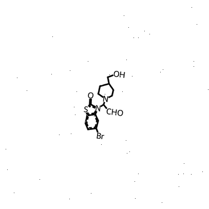 O=CC(N1CCC(CO)CC1)n1c(=O)sc2ccc(Br)cc21